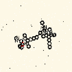 CC1(C)c2ccccc2-c2c1c1c(c3cc4c(cc23)Cc2ccccc2C4)c2ccccc2n1-c1cccc(-c2nc(-c3ccccc3)nc(-c3ccc(-c4ccc5cc6c(cc5c4)Cc4c(c5c7ccccc7n(-c7ccc8ccccc8c7)c5c5c4c4ccccc4n5-c4cc(-c5ncccn5)cc(-c5ncccn5)c4)C6)cc3)n2)c1